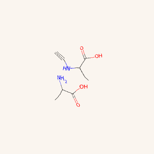 C#CNC(C)C(=O)O.CC(N)C(=O)O